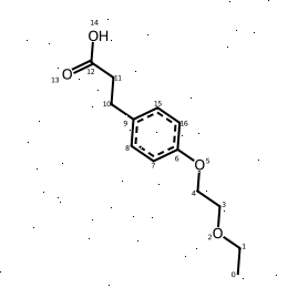 CCOCCOc1ccc(CCC(=O)O)cc1